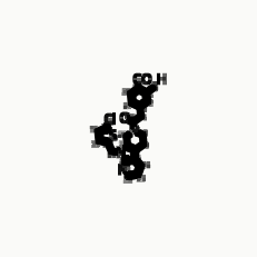 Cc1cc(CC(=O)N2CCc3c(n(Cc4ccc(Cl)s4)c4ncccc34)C2)ccc1C(=O)O